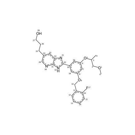 COCC(C)Oc1cc(OCc2ccccc2F)cc(-c2nc3cc(CCCO)cnc3[nH]2)c1